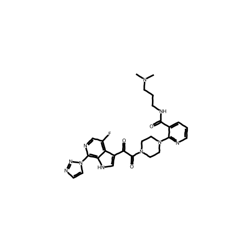 CN(C)CCCNC(=O)c1cccnc1N1CCN(C(=O)C(=O)c2c[nH]c3c(-n4ccnn4)ncc(F)c23)CC1